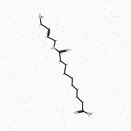 O=C(O)CCCCCCCCC(=O)OC/C=C/CO